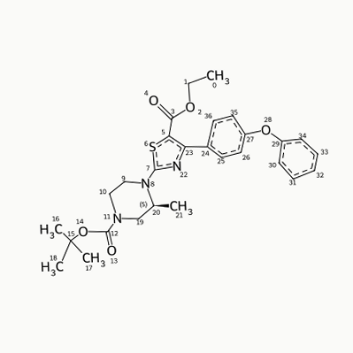 CCOC(=O)c1sc(N2CCN(C(=O)OC(C)(C)C)C[C@@H]2C)nc1-c1ccc(Oc2ccccc2)cc1